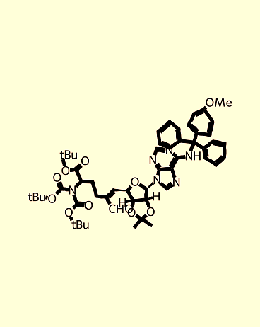 COc1ccc(C(Nc2ncnc3c2ncn3[C@@H]2O[C@H](/C=C(\C=O)CCC(C(=O)OC(C)(C)C)N(C(=O)OC(C)(C)C)C(=O)OC(C)(C)C)[C@H]3OC(C)(C)O[C@H]32)(c2ccccc2)c2ccccc2)cc1